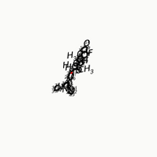 CC1C[C@H]2[C@@H]3CC(F)C4=CC(=O)CC[C@]4(C)C3=CC[C@]2(C)[C@@]1(O)C(=O)CN1CCN(c2cc(N3CCCC3)nc(N3CCCC3)n2)CC1